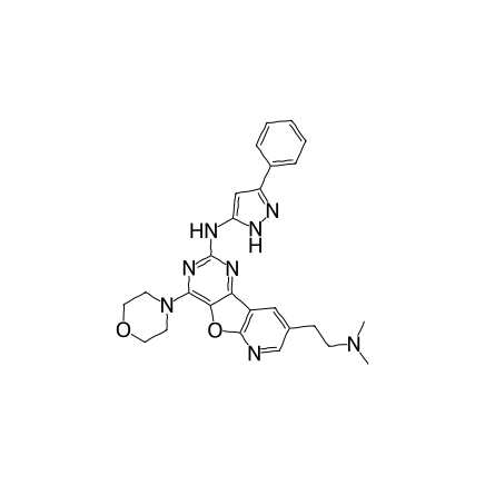 CN(C)CCc1cnc2oc3c(N4CCOCC4)nc(Nc4cc(-c5ccccc5)n[nH]4)nc3c2c1